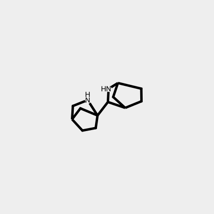 C1CC2(C3NC4CCC3C4)CC1CN2